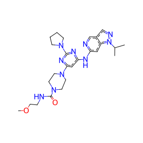 COCCNC(=O)N1CCN(c2cc(Nc3cc4c(cn3)cnn4C(C)C)nc(N3CCCC3)n2)CC1